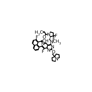 C#Cc1c(F)ccc2cccc(-c3ncc4c(N(C)C[C@H]5N(C(=O)C=C)CCC5(F)F)nc(OCC56CCCN5CCC6)nc4c3F)c12